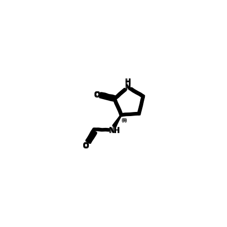 O=CN[C@@H]1CCNC1=O